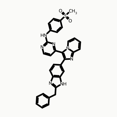 CS(=O)(=O)c1ccc(Nc2nccc(-c3c(-c4ccc5nc(Cc6ccccc6)[nH]c5c4)nc4ccccn34)n2)cc1